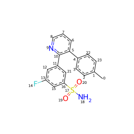 Cc1ccc(-c2cccnc2-c2cc(F)cc(S(N)(=O)=O)c2)cc1